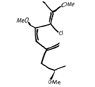 C=C(/C=C(OC)\C(Cl)=C(/C)OC)C[C@@H](C)OC